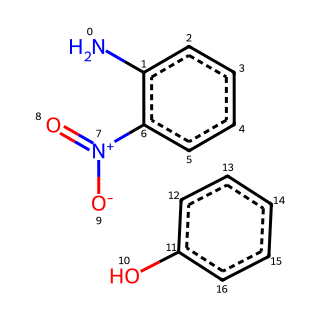 Nc1ccccc1[N+](=O)[O-].Oc1ccccc1